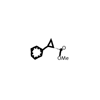 COC(=O)[C@H]1CC1c1ccccc1